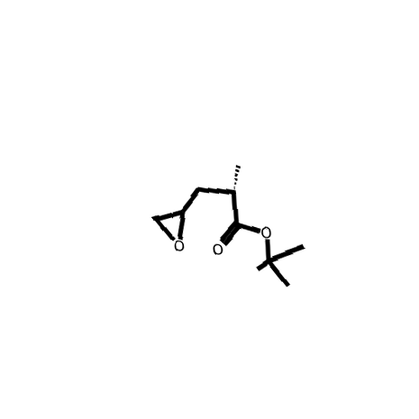 C[C@@H](CC1CO1)C(=O)OC(C)(C)C